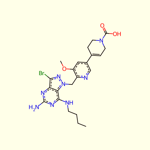 CCCCNc1nc(N)nc2c(Br)nn(Cc3ncc(C4=CCN(C(=O)O)CC4)cc3OC)c12